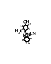 Cc1ccc(-c2nc3ccccc3n2C#N)c(C)c1